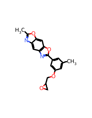 Cc1cc(OCC2CO2)cc(-c2nc3cc4nc(C)oc4cc3o2)c1